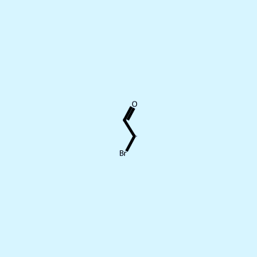 O=C[CH]Br